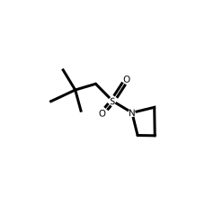 CC(C)(C)CS(=O)(=O)N1CCC1